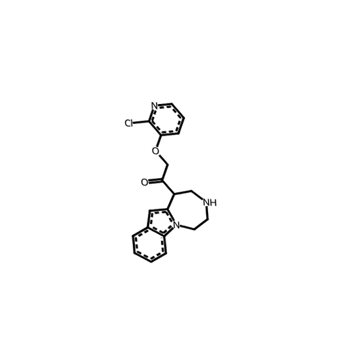 O=C(COc1cccnc1Cl)C1CNCCn2c1cc1ccccc12